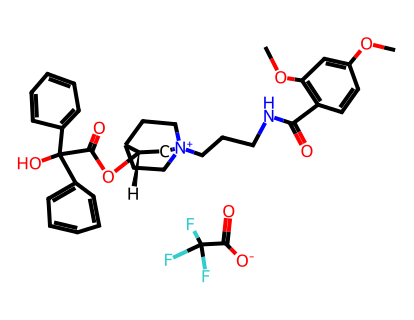 COc1ccc(C(=O)NCCC[N+]23CCC(CC2)[C@@H](OC(=O)C(O)(c2ccccc2)c2ccccc2)C3)c(OC)c1.O=C([O-])C(F)(F)F